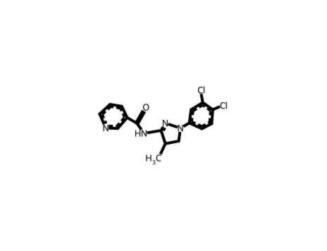 CC1CN(c2ccc(Cl)c(Cl)c2)N=C1NC(=O)c1cccnc1